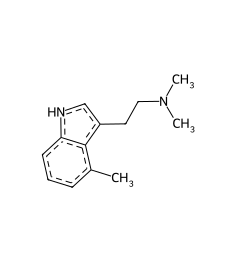 Cc1cccc2[nH]cc(CCN(C)C)c12